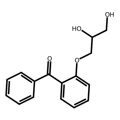 O=C(c1ccccc1)c1ccccc1OCC(O)CO